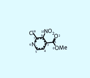 COC(=O)c1ccnc(Cl)c1[N+](=O)[O-]